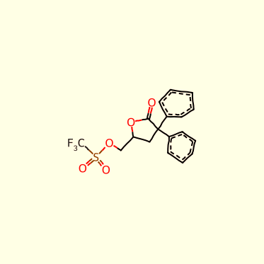 O=C1OC(COS(=O)(=O)C(F)(F)F)CC1(c1ccccc1)c1ccccc1